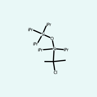 CC(C)[Si](O[Si](C(C)C)(C(C)C)C(C)(C)Cl)(C(C)C)C(C)C